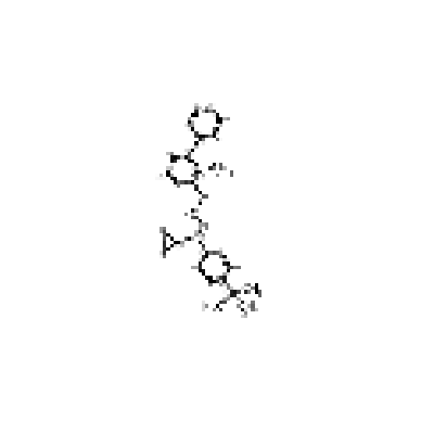 Cc1c(CO/N=C(/c2ccc(C(C)(C)C)cc2)C2CC2)cccc1-c1ccccc1